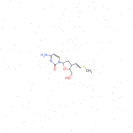 CS/C=C/C1CC(n2ccc(N)nc2=O)OC1CO